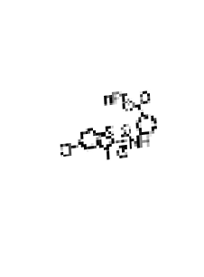 CCCOC(=O)c1cccc(NS(=O)(=O)c2sc3ccc(Cl)cc3c2C)c1